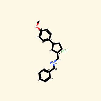 COc1ccc(C2CCC(CNCc3ccccc3)C2)cc1.Cl